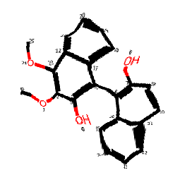 COc1c(O)c(-c2c(O)ccc3ccccc23)c2ccccc2c1OC